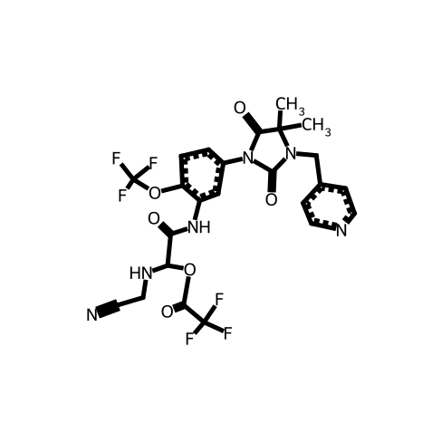 CC1(C)C(=O)N(c2ccc(OC(F)(F)F)c(NC(=O)C(NCC#N)OC(=O)C(F)(F)F)c2)C(=O)N1Cc1ccncc1